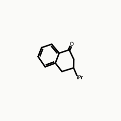 CC(C)C1CC(=O)c2ccccc2C1